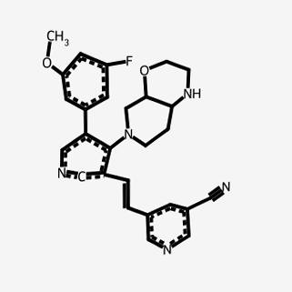 COc1cc(F)cc(-c2cncc(C=Cc3cncc(C#N)c3)c2N2CCC3NCCOC3C2)c1